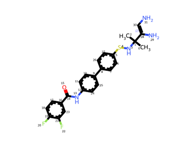 CC(C)(NSc1ccc(-c2ccc(NC(=O)c3ccc(F)c(F)c3)cc2)cc1)/C(N)=C/N